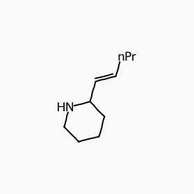 CCCC=CC1CCCCN1